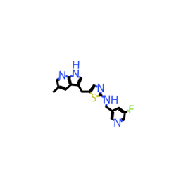 Cc1cnc2[nH]cc(Cc3cnc(NCc4cncc(F)c4)s3)c2c1